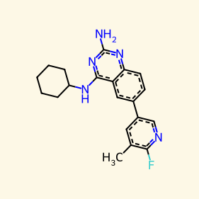 Cc1cc(-c2ccc3nc(N)nc(NC4CCCCC4)c3c2)cnc1F